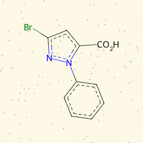 O=C(O)c1cc(Br)nn1-c1ccccc1